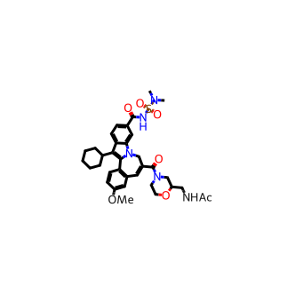 COc1ccc2c(c1)C=C(C(=O)N1CCOC(CNC(C)=O)C1)Cn1c-2c(C2CCCCC2)c2ccc(C(=O)NS(=O)(=O)N(C)C)cc21